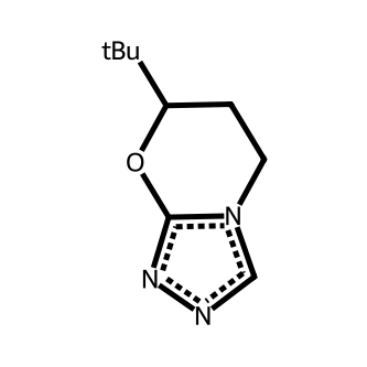 CC(C)(C)C1CCn2cnnc2O1